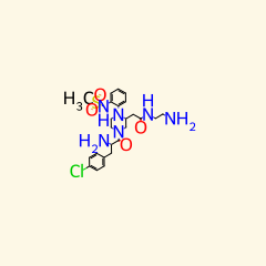 CS(=O)(=O)Nc1ccccc1N1CCN(C(=O)C(N)Cc2ccc(Cl)cc2)CC1CC(=O)NCCN